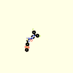 O=C(Nc1nc(-c2ccc(S(=O)(=O)c3ccccc3)cc2)cs1)N1CCN(C(c2ccc(F)cc2)c2ccc(F)cc2)CC1